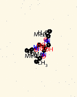 COCc1cc(-c2nc(-c3ccc(C(CO)(C(O)Cc4cccc(-c5noc(-c6ccc(-c7ccccc7C)c(COC)c6)n5)c4)C(O)c4cccc(-c5noc(-c6ccc(-c7ccccc7C)c(COC)c6)n5)c4)cc3)no2)ccc1-c1ccccc1C